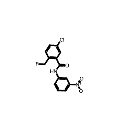 O=C(Nc1cccc([N+](=O)[O-])c1)c1cc(Cl)ccc1CF